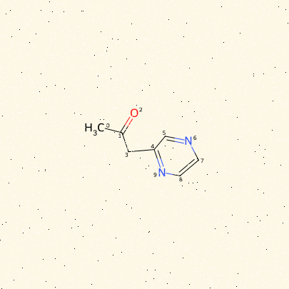 CC(=O)Cc1cnccn1